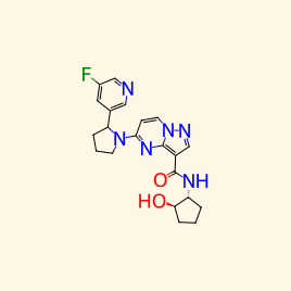 O=C(N[C@@H]1CCC[C@H]1O)c1cnn2ccc(N3CCCC3c3cncc(F)c3)nc12